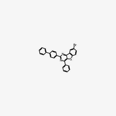 Brc1ccc2sc3c(-c4ccccc4)nc(-c4ccc(-c5ccccc5)cc4)nc3c2c1